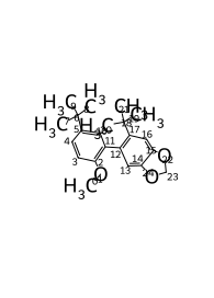 COc1ccc(C(C)(C)C)cc1-c1cc2c(cc1C(C)(C)C)OCO2